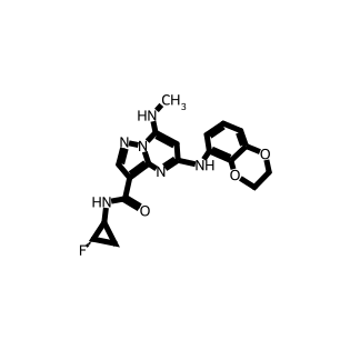 CNc1cc(Nc2cccc3c2OCCO3)nc2c(C(=O)NC3C[C@@H]3F)cnn12